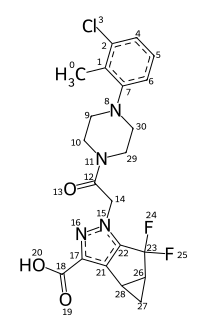 Cc1c(Cl)cccc1N1CCN(C(=O)Cn2nc(C(=O)O)c3c2C(F)(F)C2CC32)CC1